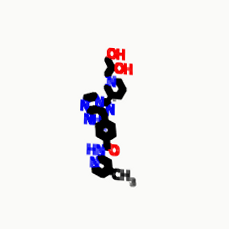 Cc1ccnc(NC(=O)c2ccc(-c3nc([C@@H]4CCCN(CC(O)CO)C4)n4ccnc(N)c34)cc2)c1